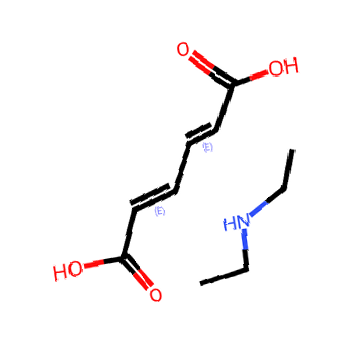 CCNCC.O=C(O)/C=C/C=C/C(=O)O